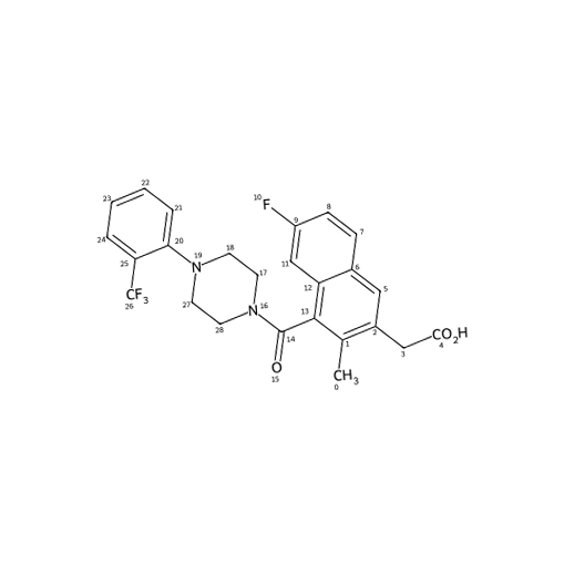 Cc1c(CC(=O)O)cc2ccc(F)cc2c1C(=O)N1CCN(c2ccccc2C(F)(F)F)CC1